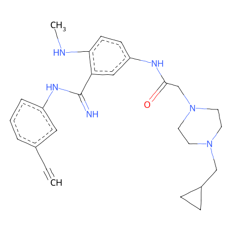 C#Cc1cccc(NC(=N)c2cc(NC(=O)CN3CCN(CC4CC4)CC3)ccc2NC)c1